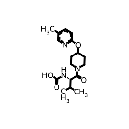 Cc1ccc(OC2CCN(C(=O)[C@@H](NC(=O)O)C(C)C)CC2)nc1